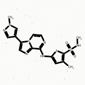 CNS(=O)(=O)c1sc(Nc2nccn3c(-c4cnn(C)c4)cnc23)cc1C